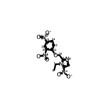 CCn1c([N+](=O)[O-])cnc1COc1ccc([N+](=O)[O-])cc1[N+](=O)[O-]